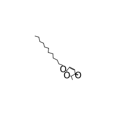 CCCCCCCCCCCCOC1C=CC(=O)C(C)O1